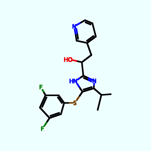 CC(C)c1nc(C(O)Cc2cccnc2)[nH]c1Sc1cc(F)cc(F)c1